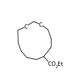 CCOC(=O)C1CCCCCCCCCCC1